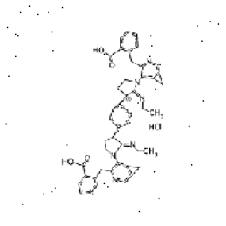 CCN=C1C(c2ccc([C@H]3CCN(c4c(Cc5ccccc5C(=O)O)ncc5c4C5)C3=NCC)cc2)CCN1c1c(Cc2ccccc2C(=O)O)ncc2c1C2.Cl